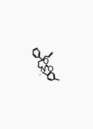 C=CCC1(c2ccccc2)CCN([C@@H](C)c2ccc(C)cc2)C(=O)O1